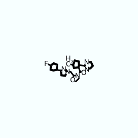 Cc1ccc(-c2ncccn2)c(C(=O)N2CCOC2Cn2ccc(-c3ccc(F)cc3)n2)c1